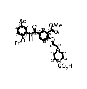 CCOc1ccc(C(C)=O)cc1NC(=O)c1ccc(OCCN2CCN(C(=O)O)CC2)c(C(=O)OC)c1